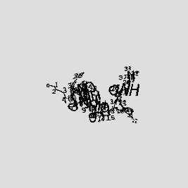 CCCCC[C@@H](C(=O)NCNC(=O)c1ccc(-c2cc(OCC)cc(C(=O)NCC[N+](C)(C)C)c2)o1)[C@@H](CC)N(O)C=O